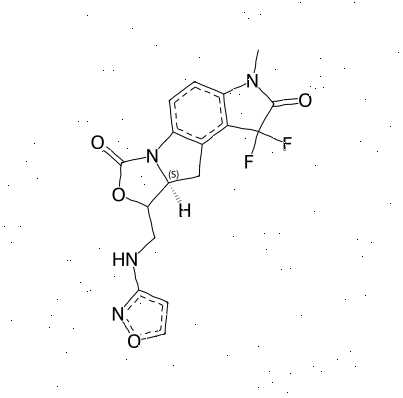 CN1C(=O)C(F)(F)c2c1ccc1c2C[C@H]2C(CNc3ccon3)OC(=O)N12